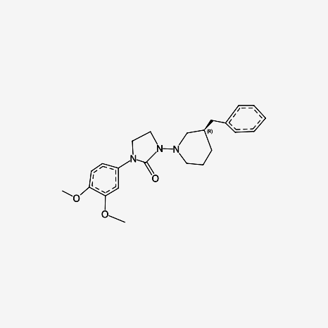 COc1ccc(N2CCN(N3CCC[C@H](Cc4ccccc4)C3)C2=O)cc1OC